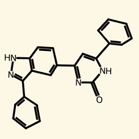 O=c1nc(-c2ccc3[nH]nc(-c4ccccc4)c3c2)cc(-c2ccccc2)[nH]1